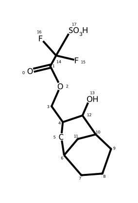 O=C(OCC1CC2CCCC(C2)C1O)C(F)(F)S(=O)(=O)O